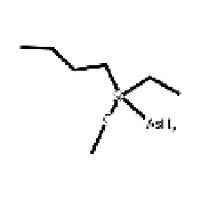 CCCC[Si]([AsH2])(CC)CC